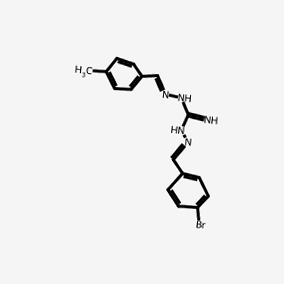 Cc1ccc(/C=N/NC(=N)N/N=C/c2ccc(Br)cc2)cc1